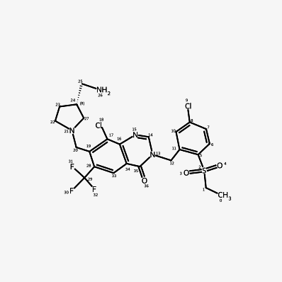 CCS(=O)(=O)c1ccc(Cl)cc1Cn1cnc2c(Cl)c(CN3CC[C@H](CN)C3)c(C(F)(F)F)cc2c1=O